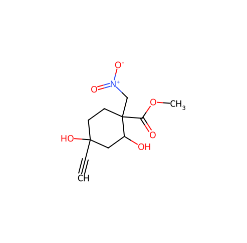 C#CC1(O)CCC(C[N+](=O)[O-])(C(=O)OC)C(O)C1